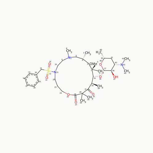 CO[C@]1(C)C[C@@H](C)CN(C)CCN(S(=O)(=O)Cc2ccccc2)CCCOC(=O)C(C)(C)C(=O)[C@H](C)[C@H]1O[C@@H]1O[C@H](C)C[C@H](N(C)C)[C@H]1O